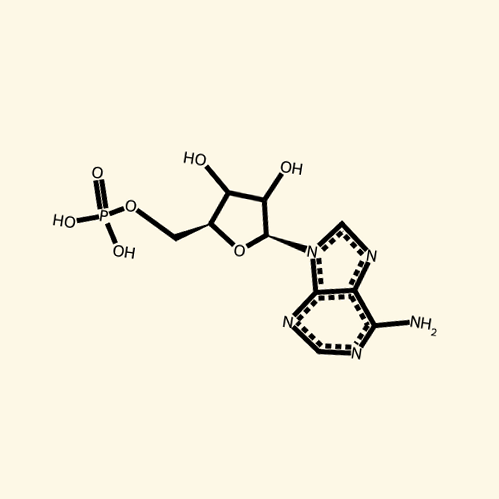 Nc1ncnc2c1ncn2[C@H]1O[C@@H](COP(=O)(O)O)C(O)C1O